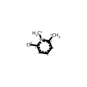 Cc1cccc(Cl)[n+]1C